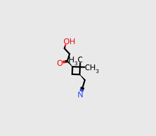 CC1(C)[C@@H](CC#N)C[C@H]1C(=O)CCO